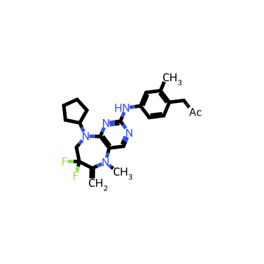 C=C1N(C)c2cnc(Nc3ccc(CC(C)=O)c(C)c3)nc2N(C2CCCC2)CC1(F)F